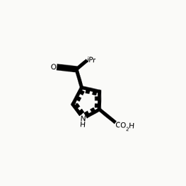 CC(C)C(=O)c1c[nH]c(C(=O)O)c1